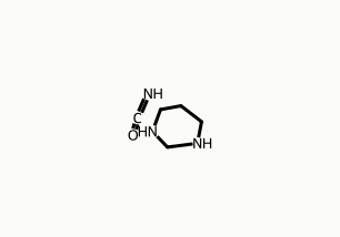 C1CNCNC1.N=C=O